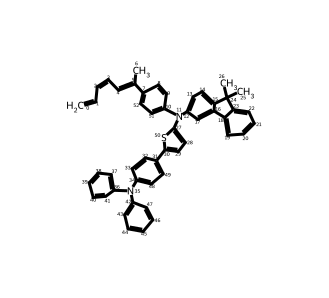 C=C/C=C\C=C(/C)c1ccc(N(c2ccc3c(c2)-c2ccccc2C3(C)C)c2ccc(-c3ccc(N(c4ccccc4)c4ccccc4)cc3)s2)cc1